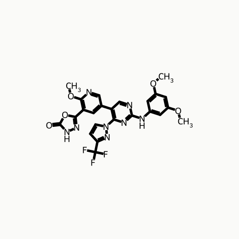 COc1cc(Nc2ncc(-c3cnc(OC)c(-c4n[nH]c(=O)o4)c3)c(-n3ccc(C(F)(F)F)n3)n2)cc(OC)c1